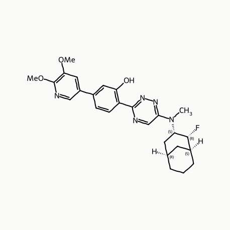 COc1cc(-c2ccc(-c3ncc(N(C)[C@H]4C[C@@H]5CCC[C@@H](C5)[C@H]4F)nn3)c(O)c2)cnc1OC